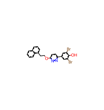 Oc1c(Br)cc(-c2ccc(OCCc3cccc4ccccc34)nn2)cc1Br